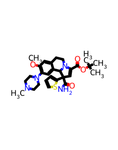 COc1cc2c(cc1N1CCN(C)CC1)C1N(CC2)C(C(=O)OC(C)(C)C)=CC1(C(N)=O)c1cccs1